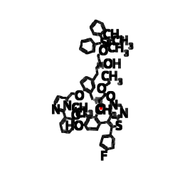 CCOC(=O)[C@@H](Cc1cc(CC[C@@H](O)CO[Si](c2ccccc2)(c2ccccc2)C(C)(C)C)ccc1OCc1ccnc(-c2ccccc2OC)n1)Oc1ncnc2sc(-c3ccc(F)cc3)c(-c3ccc(O)c(Cl)c3C)c12